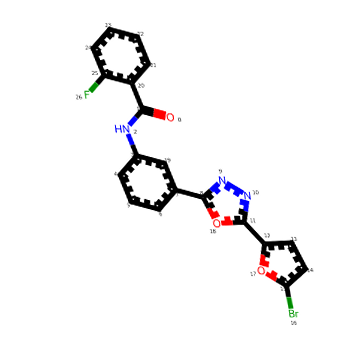 O=C(Nc1cccc(-c2nnc(-c3ccc(Br)o3)o2)c1)c1ccccc1F